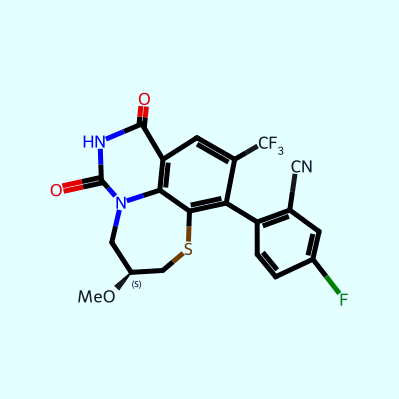 CO[C@@H]1CSc2c(-c3ccc(F)cc3C#N)c(C(F)(F)F)cc3c(=O)[nH]c(=O)n(c23)C1